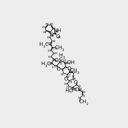 C=C/C=C\CCC1OC2CCC3(C)OC4C(CC3OC2CCC1(C)O)OC1CC(C)C(CC/C=C(C)/C(C)=C/Cn2c(=O)[nH]c3ccccc32)OC1(C)C[C@@H]4O